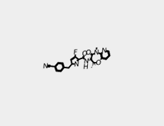 C[C@H]1Oc2cccnc2N(C)C(=O)[C@H]1NC(=O)C1=NC(Cc2ccc(C#N)cc2)C=C1F